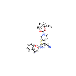 CC(C)(C)OC(=O)N1CCc2c(sc(NC(=O)/C=C\c3ccccc3)c2C#N)C1